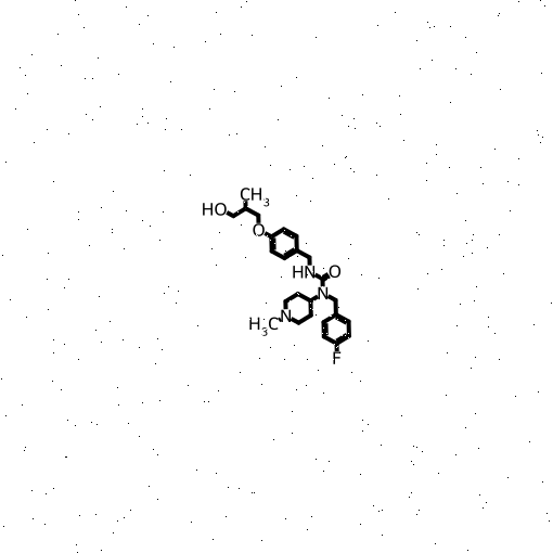 CC(CO)COc1ccc(CNC(=O)N(Cc2ccc(F)cc2)C2CCN(C)CC2)cc1